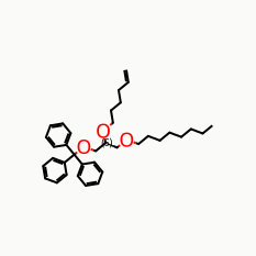 C=CCCCCO[C@@H](COCCCCCCCC)COC(c1ccccc1)(c1ccccc1)c1ccccc1